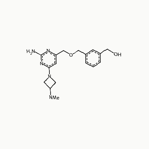 CNC1CN(c2cc(COCc3cccc(CO)c3)nc(N)n2)C1